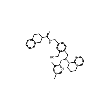 Cc1cnc(CN(Cc2ccc(CNC(=O)C3CCc4ccccc4C3)cc2CO)C2CCCc3cccnc32)c(C)c1